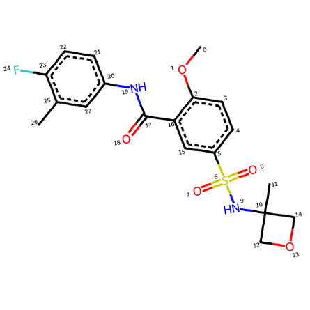 COc1ccc(S(=O)(=O)NC2(C)COC2)cc1C(=O)Nc1ccc(F)c(C)c1